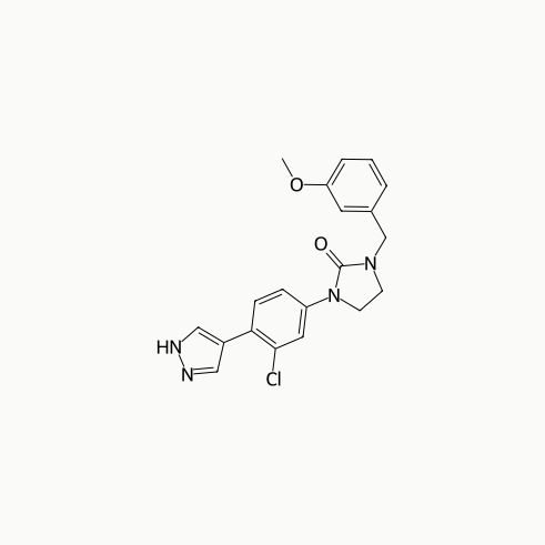 COc1cccc(CN2CCN(c3ccc(-c4cn[nH]c4)c(Cl)c3)C2=O)c1